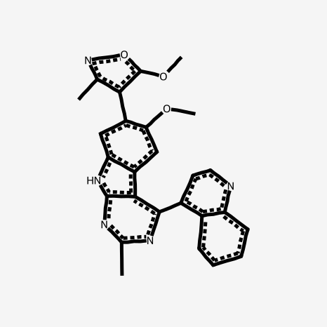 COc1cc2c(cc1-c1c(C)noc1OC)[nH]c1nc(C)nc(-c3ccnc4ccccc34)c12